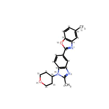 Cc1nc2cc(-c3nc4cc(C(F)(F)F)ccc4o3)ccc2n1C1CCOCC1